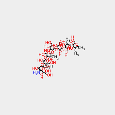 C[C@@H]1OC(CO)[C@@H](O[C@@H]2OC(CO)[C@@H](O[C@@H]3OC(CO)[C@@H](O)C(O[C@H]4O[C@H](CO)[C@@H](O)C(O)C4O[C@@H]4OC(CO)[C@@H](O[C@@H]5OC(CO)[C@H](O)C(O[C@]6(C(=O)O)C[C@@H](O)[C@@H](N)C(C(O)C(O)CO)O6)[C@@H]5O)C(O)[C@@H]4C)[C@H]3O)C(O)[C@@H]2C)C(O)[C@@H]1C